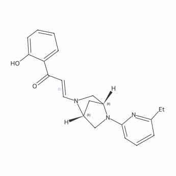 CCc1cccc(N2C[C@H]3C[C@@H]2CN3/C=C/C(=O)c2ccccc2O)n1